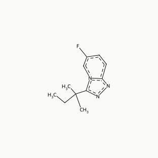 CCC(C)(C)c1nnc2ccc(F)cn12